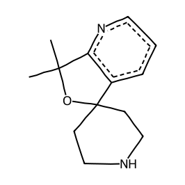 CC1(C)OC2(CCNCC2)c2cccnc21